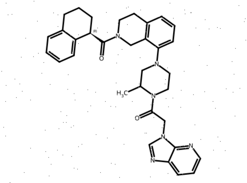 CC1CN(c2cccc3c2CN(C(=O)[C@@H]2CCCc4ccccc42)CC3)CCN1C(=O)Cn1cnc2cccnc21